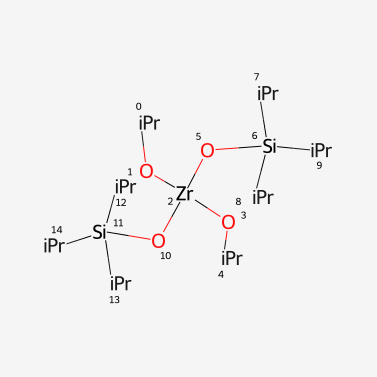 CC(C)[O][Zr]([O]C(C)C)([O][Si](C(C)C)(C(C)C)C(C)C)[O][Si](C(C)C)(C(C)C)C(C)C